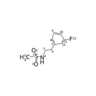 CS(=O)(=O)NCCc1cc[c]c(F)c1